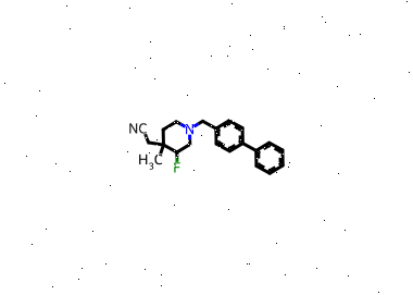 CC1(CC#N)CCN(Cc2ccc(-c3ccccc3)cc2)CC1F